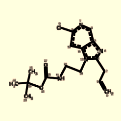 C=CCc1nc2cnc(Cl)cc2n1CCNC(=O)OC(C)(C)C